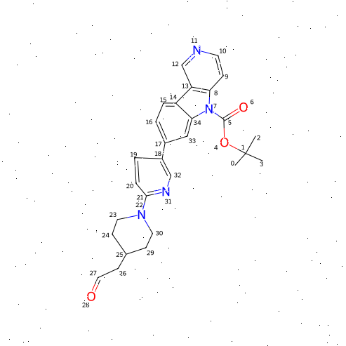 CC(C)(C)OC(=O)n1c2ccncc2c2ccc(-c3ccc(N4CCC(CC=O)CC4)nc3)cc21